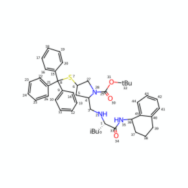 CCC(C)[C@H](NCC1CC(SC(c2ccccc2)(c2ccccc2)c2ccccc2)CN1C(=O)OC(C)(C)C)C(=O)NC1CCCc2ccccc21